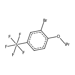 CC(C)Oc1ccc(S(F)(F)(F)(F)F)cc1Br